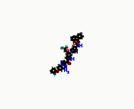 Cc1cc(Oc2ccccc2F)ccc1-n1ncc(C(=O)c2cc3cc(OCC(F)F)c(N4CC5C[C@@H](NC(=O)OC6c7ccccc7-c7ccccc76)C[C@H]5C4)cc3[nH]2)c1N